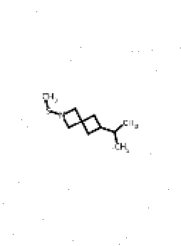 CSN1CC2(CC(C(C)C)C2)C1